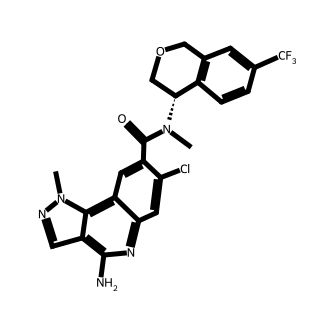 CN(C(=O)c1cc2c(cc1Cl)nc(N)c1cnn(C)c12)[C@@H]1COCc2cc(C(F)(F)F)ccc21